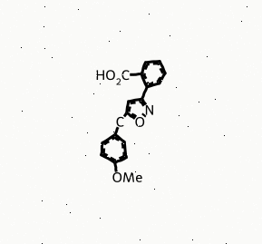 COc1ccc(Cc2cc(-c3ccccc3C(=O)O)no2)cc1